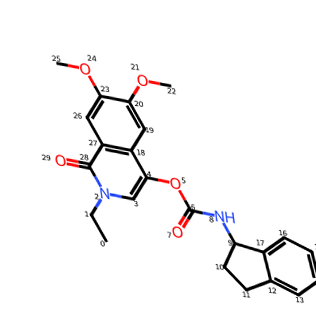 CCn1cc(OC(=O)NC2CCc3ccccc32)c2cc(OC)c(OC)cc2c1=O